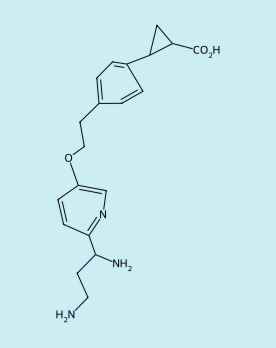 NCCC(N)c1ccc(OCCc2ccc(C3CC3C(=O)O)cc2)cn1